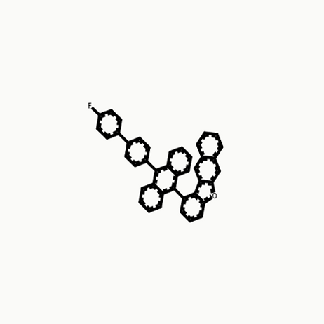 Fc1ccc(-c2ccc(-c3c4ccccc4c(-c4cccc5oc6cc7ccccc7cc6c45)c4ccccc34)cc2)cc1